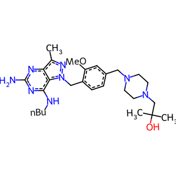 CCCCNc1nc(N)nc2c(C)nn(Cc3ccc(CN4CCN(CC(C)(C)O)CC4)cc3OC)c12